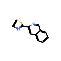 c1ccc2cc(-c3nccs3)ncc2c1